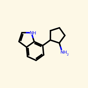 NC1CCCC1c1cccc2cc[nH]c12